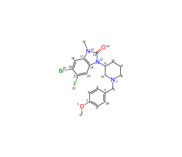 COc1ccc(CN2CCCC(n3c(=O)n(C)c4cc(Br)c(F)cc43)C2)cc1